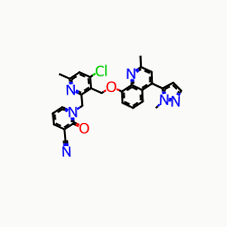 Cc1cc(Cl)c(COc2cccc3c(-c4ccnn4C)cc(C)nc23)c(Cn2cccc(C#N)c2=O)n1